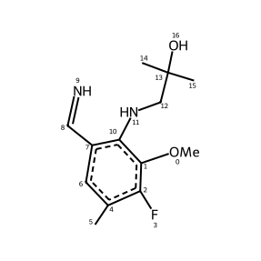 COc1c(F)c(C)cc(C=N)c1NCC(C)(C)O